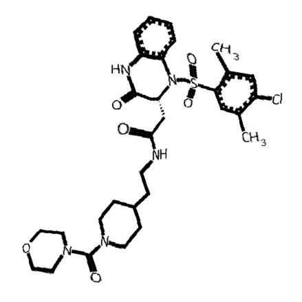 Cc1cc(S(=O)(=O)N2c3ccccc3NC(=O)[C@H]2CC(=O)NCCC2CCN(C(=O)N3CCOCC3)CC2)c(C)cc1Cl